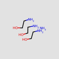 N.NCCO.NCCO.NCCO